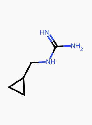 N=C(N)NCC1CC1